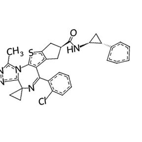 Cc1nnc2n1-c1sc3c(c1C(c1ccccc1Cl)=NC21CC1)C[C@H](C(=O)N[C@H]1C[C@@H]1c1ccccc1)C3